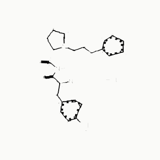 Cl.N[C@@H](Cc1ccc(O)cc1)C(=O)NC(=O)[C@@H]1CCCN1CCCc1ccccc1